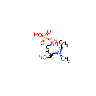 CCN(C)CCO.CN.O=S(=O)(O)O